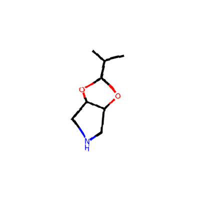 CC(C)C1OC2CNCC2O1